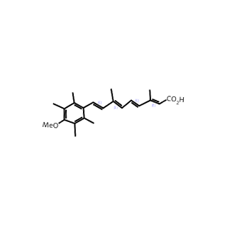 COc1c(C)c(C)c(/C=C/C(C)=C/C=C/C(C)=C/C(=O)O)c(C)c1C